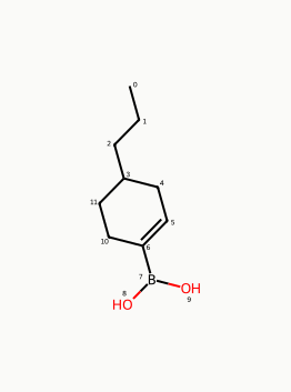 CCCC1CC=C(B(O)O)CC1